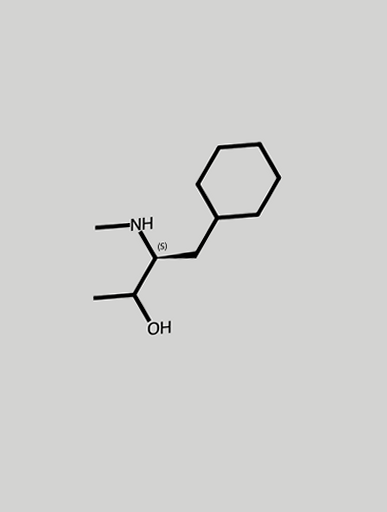 CN[C@@H](CC1CCCCC1)C(C)O